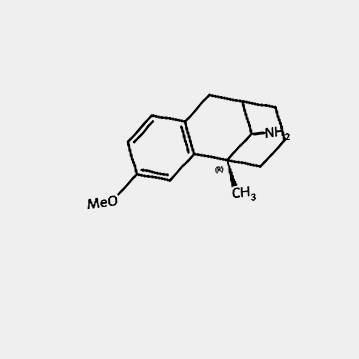 COc1ccc2c(c1)[C@@]1(C)CCCC(C2)C1N